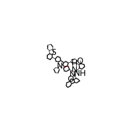 C1=CCC(n2c3ccc(C4=CC5c6c(cccc6C6NC(c7cccc8c7oc7ccccc78)=NC(c7ccccc7)N6)OC5C=C4)cc3c3ccc(-c4cccc5c4SC4C=CC=CC54)cc32)C=C1